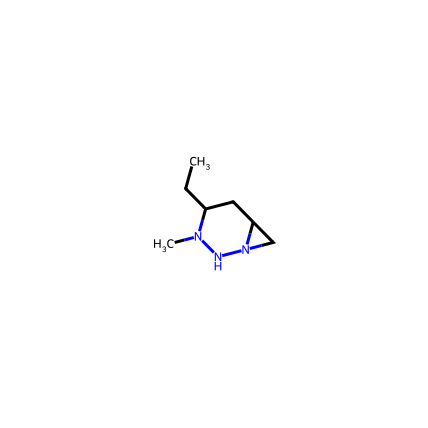 CCC1CC2CN2NN1C